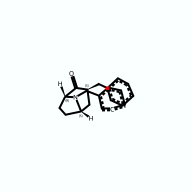 O=C1[C@@H](Cc2ccccc2)C[C@@H]2CC[C@H]1N2Cc1ccccc1